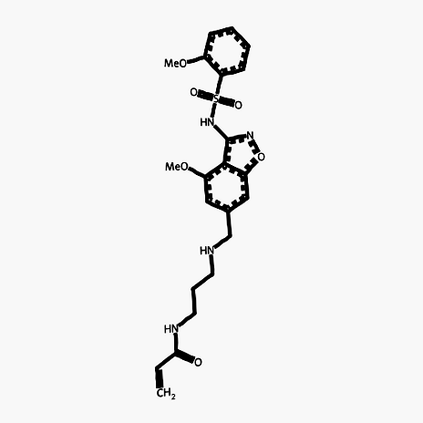 C=CC(=O)NCCCNCc1cc(OC)c2c(NS(=O)(=O)c3ccccc3OC)noc2c1